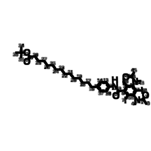 CC(=O)N(C)c1c(I)c(C(=O)Nc2ccc(CCCCCCCCCCCCCCC(=O)OC(C)(C)C)cc2)c(I)c(N(C)C(C)=O)c1I